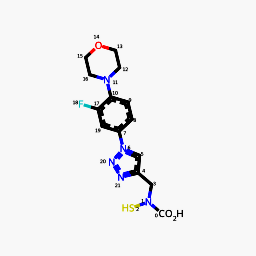 O=C(O)N(S)Cc1cn(-c2ccc(N3CCOCC3)c(F)c2)nn1